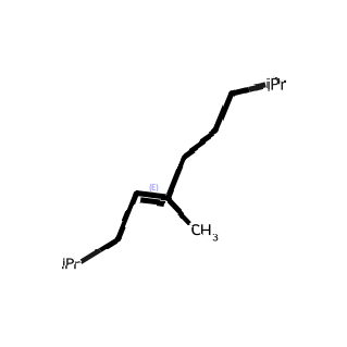 [CH2]C(C)C/C=C(\C)CCCC(C)C